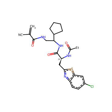 C=C(C#N)C(=O)NCC(NC(=O)[C@H](Cc1nc2ccc(Cl)cc2s1)NC(=O)CC)C1CCCC1